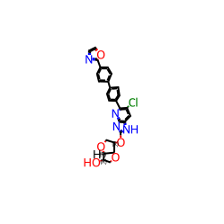 O[C@@H]1COC2[C@H](Oc3nc4nc(-c5ccc(-c6ccc(-c7ncco7)cc6)cc5)c(Cl)cc4[nH]3)CO[C@@H]21